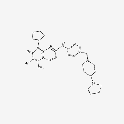 CC(=O)c1c(C)c2cnc(Nc3ccc(CN4CCC(N5CCCC5)CC4)cn3)nc2n(C2CCCC2)c1=O